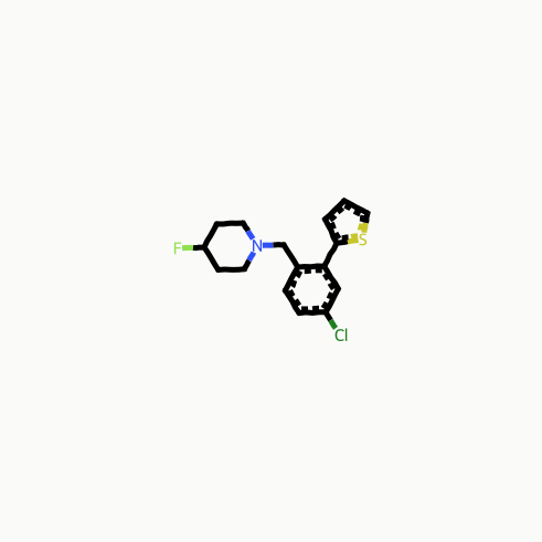 FC1CCN(Cc2ccc(Cl)cc2-c2cccs2)CC1